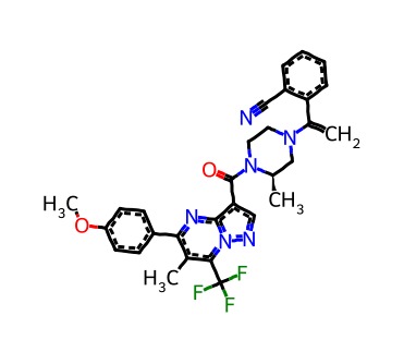 C=C(c1ccccc1C#N)N1CCN(C(=O)c2cnn3c(C(F)(F)F)c(C)c(-c4ccc(OC)cc4)nc23)[C@H](C)C1